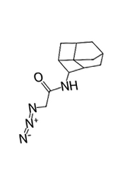 [N-]=[N+]=NCC(=O)NC1C2CC3CC(C2)CC1C3